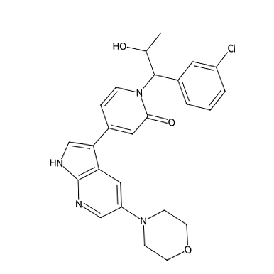 CC(O)C(c1cccc(Cl)c1)n1ccc(-c2c[nH]c3ncc(N4CCOCC4)cc23)cc1=O